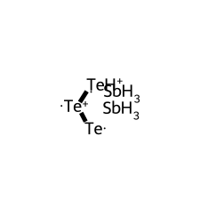 [SbH3].[SbH3].[Te][Te+][TeH+]